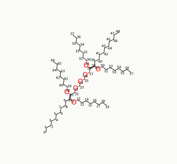 CCCCCCCCCCC(OCCCCCCCC)=C(COCOCOCC(OCCCCCCCC)=C(CCCCCCCCCC)OCCCCCCCC)OCCCCCCCC